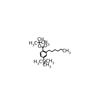 CCCCCCc1cc([Si](C)(C)C)ccc1C(=O)OC(C)(C)C